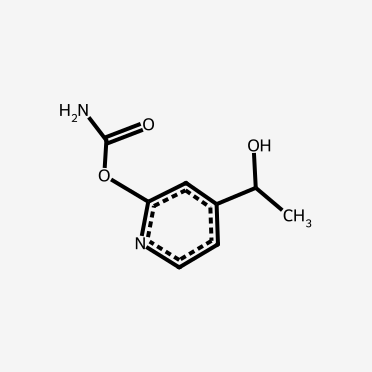 CC(O)c1ccnc(OC(N)=O)c1